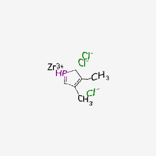 CC1=C(C)C[PH]([Zr+3])=C1.[Cl-].[Cl-].[Cl-]